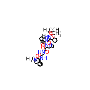 CN(C)C(=O)[C@@H](NC(=O)CNC(=O)C(=O)C(CC1CCC1)NC(=O)[C@@H]1[C@H]2CCC[C@H]2CN1C(=O)[C@@H](NC(=O)OC(C)(C)C)C1CCCCC1)c1ccccc1